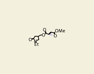 CCN1CC(COC(=O)/C=C/C(=O)OC)CC1=O